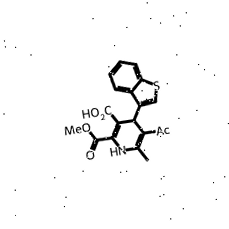 COC(=O)C1=C(C(=O)O)C(c2csc3ccccc23)C(C(C)=O)=C(C)N1